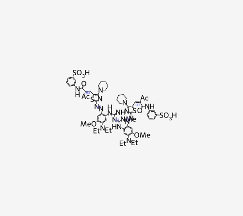 CCN(CC)c1cc(NC(=N)/N=C(\NC)Nc2cc(N(CC)CC)c(OC)cc2/N=N/c2nc(N3CCCCC3)c(/C=C(/C(C)=O)C(=O)Nc3cccc(S(=O)(=O)O)c3)s2)c(/N=N/c2nc(N3CCCCC3)c(/C=C(\C(C)=O)C(=O)Nc3cccc(S(=O)(=O)O)c3)s2)cc1OC